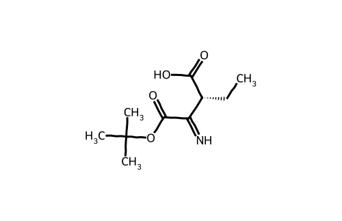 CC[C@H](C(=N)C(=O)OC(C)(C)C)C(=O)O